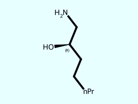 CCCCC[C@@H](O)CN